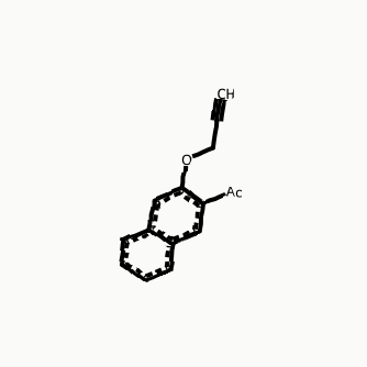 C#CCOc1cc2ccccc2cc1C(C)=O